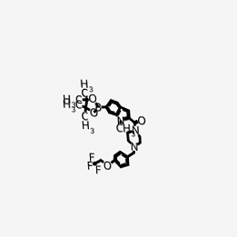 Cn1c(C(=O)N2CCN(Cc3ccc(OCC(F)(F)F)cc3)CC2)cc2ccc(B3OC(C)(C)C(C)(C)O3)cc21